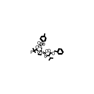 Cc1ccc(S(=O)(=O)OC[C@H]2N(C(=O)N(C)[C@H](C(=O)OCc3ccccc3)C(C)C)CCN2C(=O)C(C)(C)F)cc1